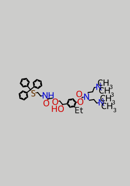 CCc1cc(C(O)COCC(=O)NCCSC(c2ccccc2)(c2ccccc2)c2ccccc2)ccc1OC(=O)N(CCCN(C)C)CCCN(C)C